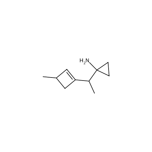 CC1C=C(C(C)C2(N)CC2)C1